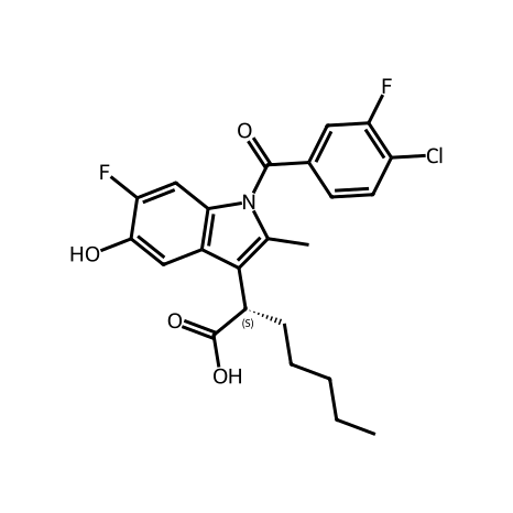 CCCCC[C@H](C(=O)O)c1c(C)n(C(=O)c2ccc(Cl)c(F)c2)c2cc(F)c(O)cc12